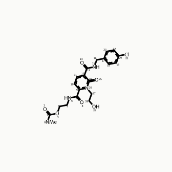 CNC(=O)OCCNC(=O)c1ccc(C(=O)NCc2ccc(Cl)cc2)c(=O)n1CCO